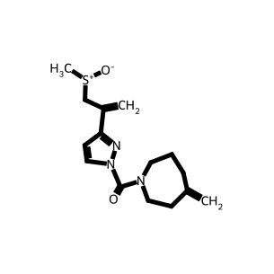 C=C1CCCN(C(=O)n2ccc(C(=C)C[S+](C)[O-])n2)CC1